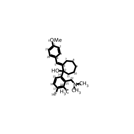 COc1ccc(C=C2CCCCCC2(O)c2ccc(F)c(C)c2CN(C)C)cc1